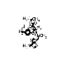 CC(C)OC(=O)C(C)(C)NP(=O)(CO[C@H](C)Cn1cnc2c(N)ncnc21)Oc1ccc(C(F)(F)F)cc1